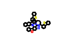 C1=C(/c2cccc3c2sc2ccccc23)NC(c2ccc3oc4ccccc4c3c2-n2c3ccccc3c3cc4ccccc4cc32)/N=C(/c2cccc3c2sc2ccccc23)CC/1